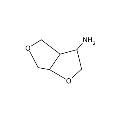 NC1COC2COCC12